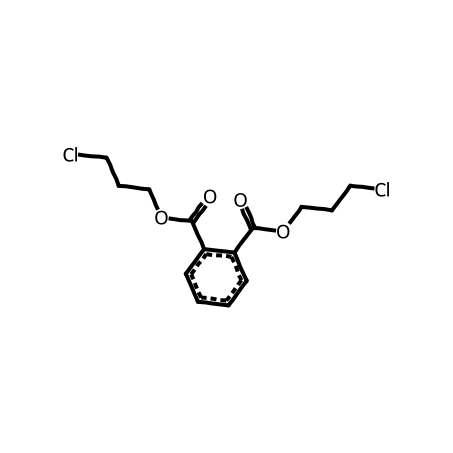 O=C(OCCCCl)c1ccccc1C(=O)OCCCCl